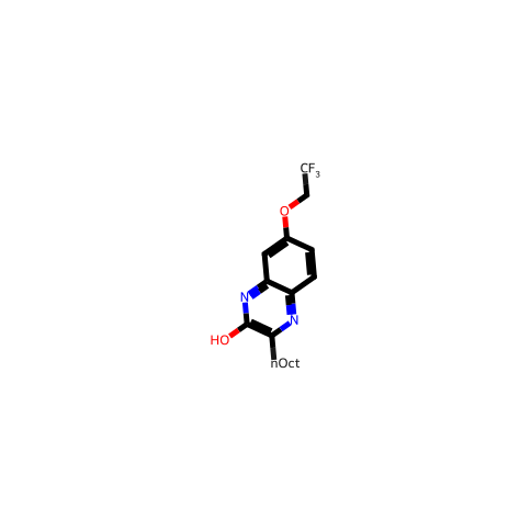 CCCCCCCCc1nc2ccc(OCC(F)(F)F)cc2nc1O